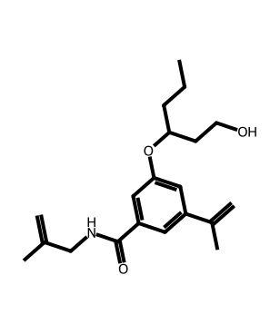 C=C(C)CNC(=O)c1cc(OC(CCC)CCO)cc(C(=C)C)c1